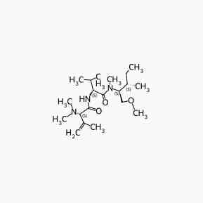 C=C(C)[C@@H](C(=O)N[C@H](C(=O)N(C)[C@H](COC)[C@@H](C)CC)C(C)C)N(C)C